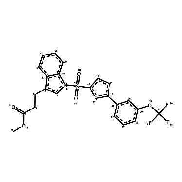 COC(=O)CCc1cn(S(=O)(=O)c2ccc(-c3cccc(OC(F)(F)F)c3)s2)c2ccccc12